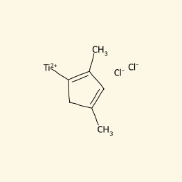 CC1=CC(C)=[C]([Ti+2])C1.[Cl-].[Cl-]